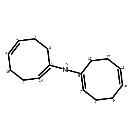 C1=CCC[C]([Ni][C]2=CCCC=CCC2)=CCC1